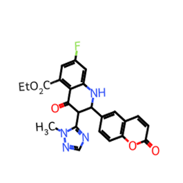 CCOC(=O)c1cc(F)cc2c1C(=O)C(c1ncnn1C)C(c1ccc3oc(=O)ccc3c1)N2